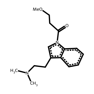 COCCC(=O)n1cc(CCN(C)C)c2ccccc21